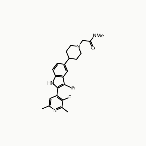 CNC(=O)CN1CCC(c2ccc3[nH]c(-c4cc(C)nc(C)c4F)c(C(C)C)c3c2)CC1